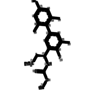 CCOC(=O)C[C@H](NC(=O)OC(C)(C)C)c1cc(-c2c(C)cc(C#N)cc2C)cc(C)c1F